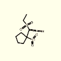 CCS(=O)(=O)C(=[N+]=[N-])C1([SH](=O)=O)CCCC1